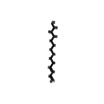 [C]=CC=CCCCCCCCCCC